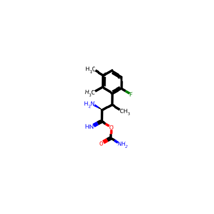 Cc1ccc(F)c(C(C)[C@H](N)C(=N)OC(N)=O)c1C